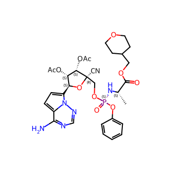 CC(=O)O[C@H]1[C@H](c2ccc3c(N)ncnn23)O[C@](C#N)(CO[P@@](=O)(N[C@@H](C)C(=O)OCC2CCOCC2)Oc2ccccc2)[C@H]1OC(C)=O